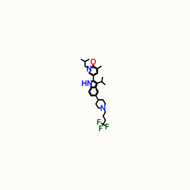 Cc1cc(-c2[nH]c3ccc(C4CCN(CCCC(F)(F)F)CC4)cc3c2C(C)C)cn(CC(C)C)c1=O